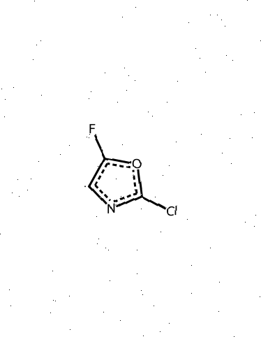 Fc1[c]nc(Cl)o1